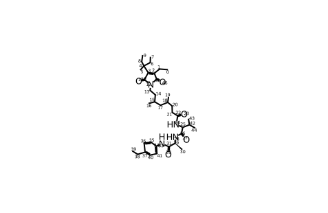 CCC1=C(C(C)(CC)CC)C(=O)N(CCC(C)CC(C)CCC(=O)NC(C(=O)N[C@@H](C)C(=O)Nc2ccc(CC)cc2)C(C)C)C1=O